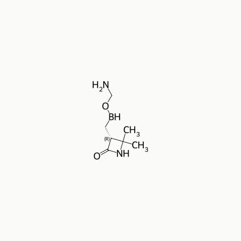 CC1(C)NC(=O)[C@@H]1CBOCN